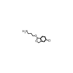 NCCCOB1OCc2cc(Cl)ccc21